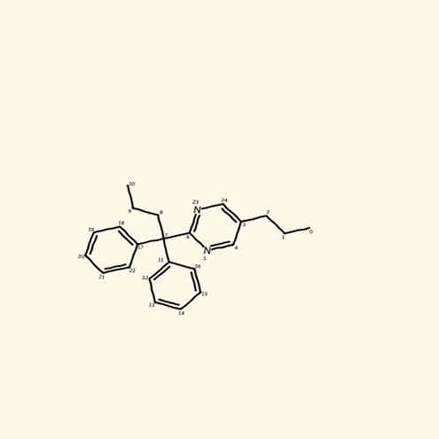 CCCc1cnc(C(CCC)(c2ccccc2)c2ccccc2)nc1